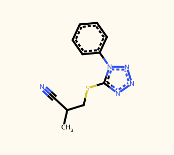 CC(C#N)CSc1nnnn1-c1ccccc1